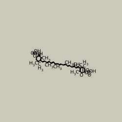 CC1=C(/C=C/C(C)=C/C=C/C(C)=C/C=C/C=C(C)/C=C/C=C(C)/C=C/C2=C(C)C(=O)C(OP(=O)(O)O)CC2(C)C)C(C)(C)CC(OP(=O)(O)O)C1=O